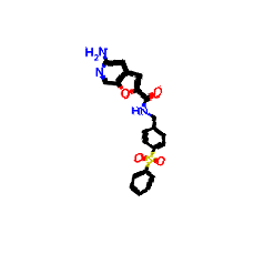 Nc1cc2cc(C(=O)NCc3ccc(S(=O)(=O)c4ccccc4)cc3)oc2cn1